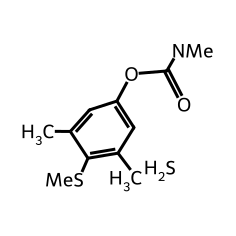 CNC(=O)Oc1cc(C)c(SC)c(C)c1.S